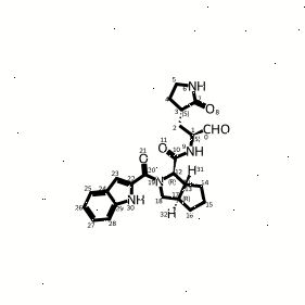 O=C[C@H](C[C@@H]1CCNC1=O)NC(=O)[C@H]1[C@@H]2CCC[C@H]2CN1C(=O)c1cc2ccccc2[nH]1